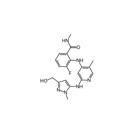 CNC(=O)c1cccc(F)c1Nc1cc(Nc2cc(CO)nn2C)ncc1C